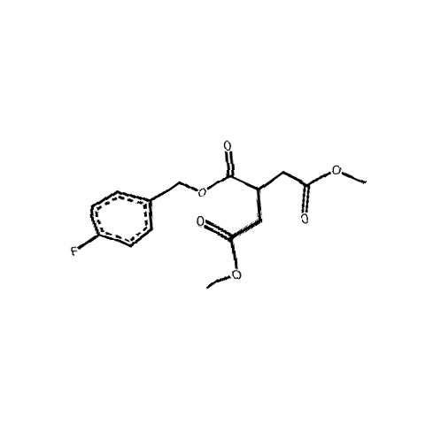 COC(=O)CC(CC(=O)OC)C(=O)OCc1ccc(F)cc1